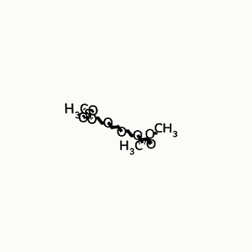 CCOC(=O)[C@H](C)OCCOCCOCCOS(C)(=O)=O